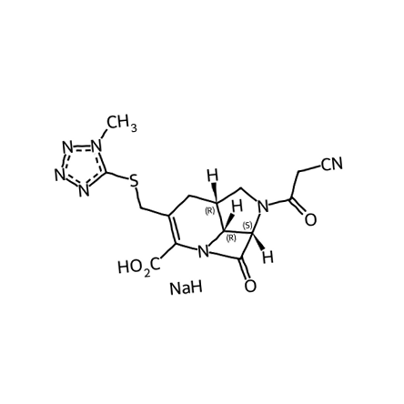 Cn1nnnc1SCC1=C(C(=O)O)N2C(=O)[C@@H]3[C@H]2[C@H](C1)CN3C(=O)CC#N.[NaH]